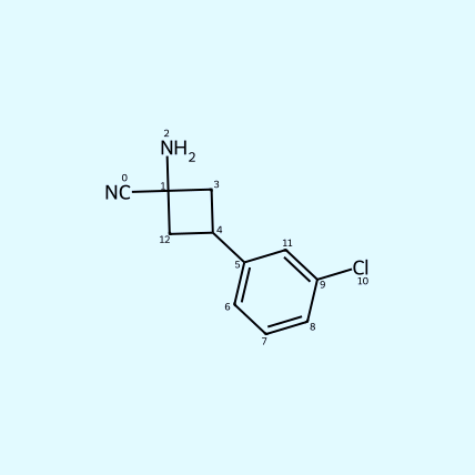 N#CC1(N)CC(c2cccc(Cl)c2)C1